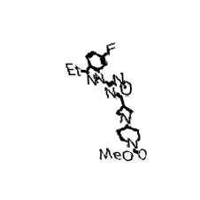 CCc1nn(-c2noc(C3CN(C4CCN(C(=O)OC)CC4)C3)n2)c2cc(F)ccc12